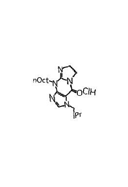 CCCCCCCCN1C2=NCCN2C(=O)c2c1ncn2CC(C)C.Cl